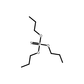 CCCOP(=S)(OCCC)OCCC